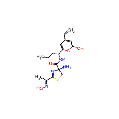 C=CC1=CC(O)OC([C@@H](CCC)NC(=O)[C@]2(N)CSC(/C(C)=N/O)=N2)=C1